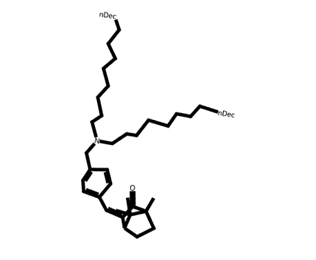 CCCCCCCCCCCCCCCCCCN(CCCCCCCCCCCCCCCCCC)Cc1ccc(C=C2C(=O)C3(C)CCC2C3(C)C)cc1